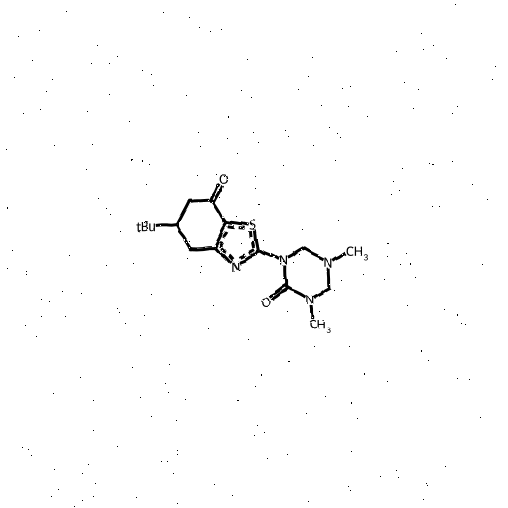 CN1CN(C)C(=O)N(c2nc3c(s2)C(=O)CC(C(C)(C)C)C3)C1